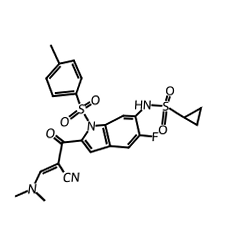 Cc1ccc(S(=O)(=O)n2c(C(=O)/C(C#N)=C/N(C)C)cc3cc(F)c(NS(=O)(=O)C4CC4)cc32)cc1